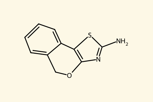 Nc1nc2c(s1)-c1ccccc1CO2